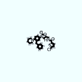 O=C(NCC1CN(c2ccc(N3CCCCC3)c(Cc3ccccc3)c2)C(=O)O1)c1ccc(Cl)s1